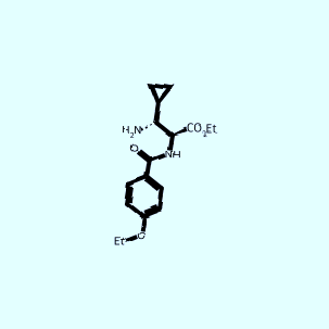 CCOC(=O)[C@@H](NC(=O)c1ccc(OCC)cc1)[C@H](N)C1CC1